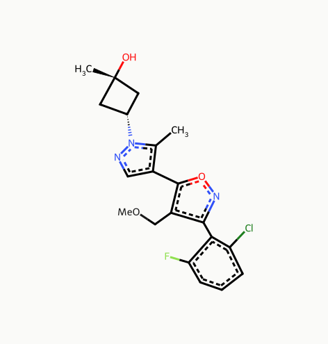 COCc1c(-c2c(F)cccc2Cl)noc1-c1cnn([C@H]2C[C@@](C)(O)C2)c1C